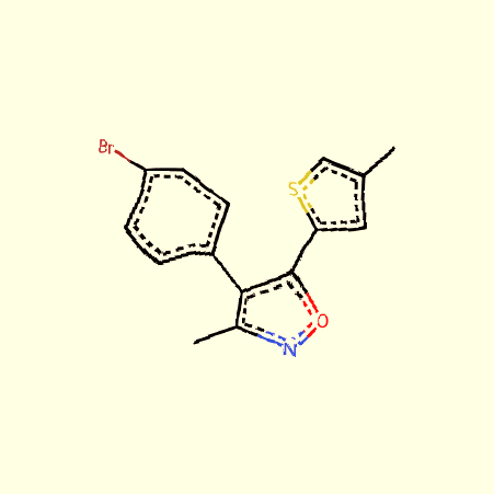 Cc1csc(-c2onc(C)c2-c2ccc(Br)cc2)c1